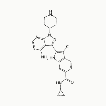 Nc1ncnc2c1c(-c1[nH]c3cc(C(=O)NC4CC4)ccc3c1Cl)nn2C1CCNCC1